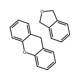 c1ccc2c(c1)COC2.c1ccc2c(c1)Cc1ccccc1O2